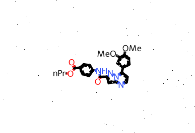 CCCOC(=O)c1ccc(NC(=O)c2cc3nccc(-c4ccc(OC)c(OC)c4)n3n2)cc1